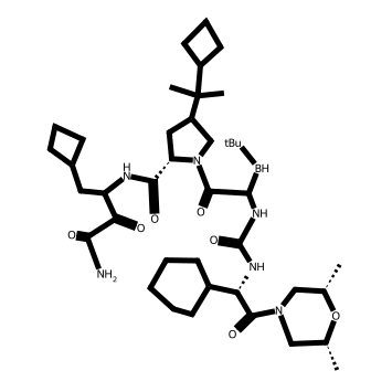 C[C@@H]1CN(C(=O)[C@@H](NC(=O)NC(BC(C)(C)C)C(=O)N2CC(C(C)(C)C3CCC3)C[C@H]2C(=O)NC(CC2CCC2)C(=O)C(N)=O)C2CCCCC2)C[C@H](C)O1